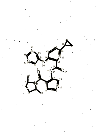 CC1CCC(C)N1C(=O)c1ccncc1NC(=O)c1nc(C2CC2)ccc1Nc1cncnc1